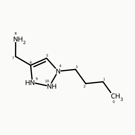 CCCCN1C=C(CN)NN1